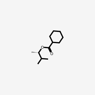 CC(C)[C@H](C)OC(=O)C1CCCCC1